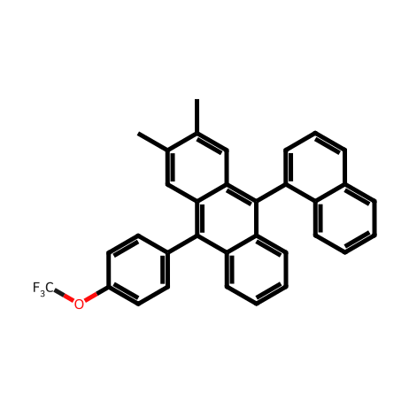 Cc1cc2c(-c3ccc(OC(F)(F)F)cc3)c3ccccc3c(-c3cccc4ccccc34)c2cc1C